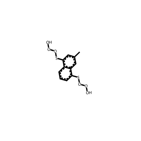 Cc1cc(SOOO)c2cccc(SOOO)c2c1